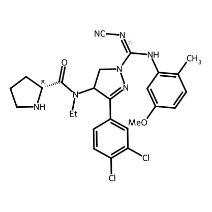 CCN(C(=O)[C@H]1CCCN1)C1CN(/C(=N\C#N)Nc2cc(OC)ccc2C)N=C1c1ccc(Cl)c(Cl)c1